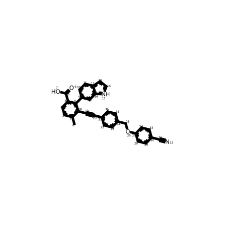 Cc1ccc(C(=O)O)c(-c2ccc3cc[nH]c3c2)c1C#Cc1ccc(COc2ccc(C#N)cc2)cc1